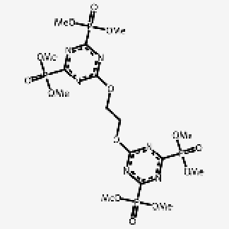 COP(=O)(OC)c1nc(OCCOc2nc(P(=O)(OC)OC)nc(P(=O)(OC)OC)n2)nc(P(=O)(OC)OC)n1